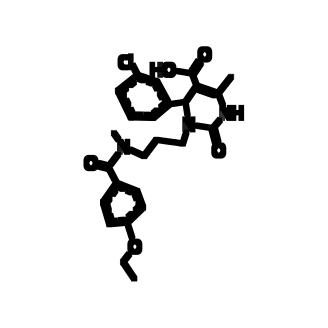 CCOc1ccc(C(=O)N(C)CCCN2C(=O)NC(C)=C(C(=O)O)C2c2cccc(Cl)c2)cc1